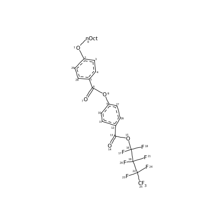 CCCCCCCCOc1ccc(C(=O)Oc2ccc(C(=O)OC(F)(F)C(F)(F)C(F)(F)C(F)(F)F)cc2)cc1